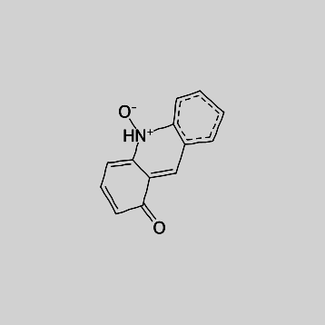 O=C1C=CC=C2C1=Cc1ccccc1[NH+]2[O-]